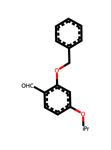 CC(C)Oc1ccc(C=O)c(OCc2ccccc2)c1